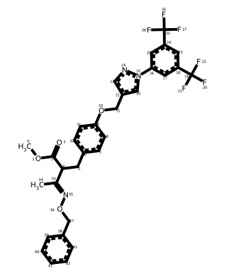 COC(=O)C(Cc1ccc(OCc2cnn(-c3cc(C(F)(F)F)cc(C(F)(F)F)c3)c2)cc1)C(C)=NOCc1ccccc1